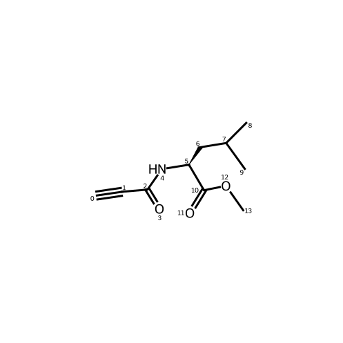 C#CC(=O)N[C@@H](CC(C)C)C(=O)OC